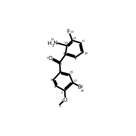 COc1ccc(C(=O)c2cccc(F)c2N)cc1Br